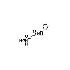 O=C(CCCC(=O)NCCc1ccccc1)NO